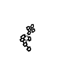 c1ccc(-c2ccc3c4ccc5cccc6c5c4n(c3c2)c2ccccc2n6-c2ccc3c(c2)-c2ccccc2C3(c2ccccc2)c2ccccc2)cc1